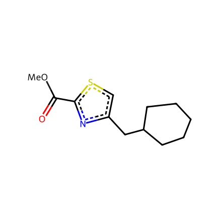 COC(=O)c1nc(CC2CCCCC2)cs1